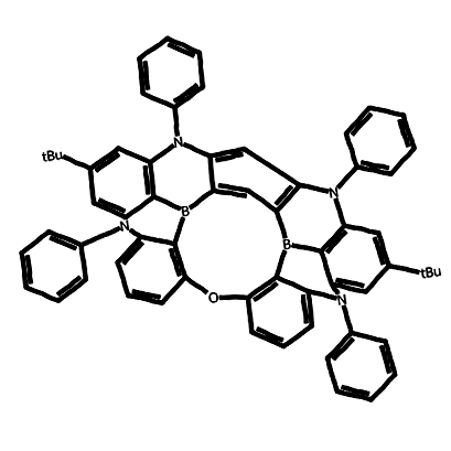 CC(C)(C)c1cc2c3c(c1)N(c1ccccc1)c1cccc4c1B3c1cc3c(cc1N2c1ccccc1)N(c1ccccc1)c1cc(C(C)(C)C)cc2c1B3c1c(cccc1N2c1ccccc1)O4